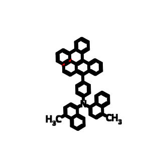 Cc1ccc(N(c2ccc(-c3c4ccccc4c(-c4ccccc4-c4ccccc4)c4ccccc34)cc2)c2ccc(C)c3ccccc23)c2ccccc12